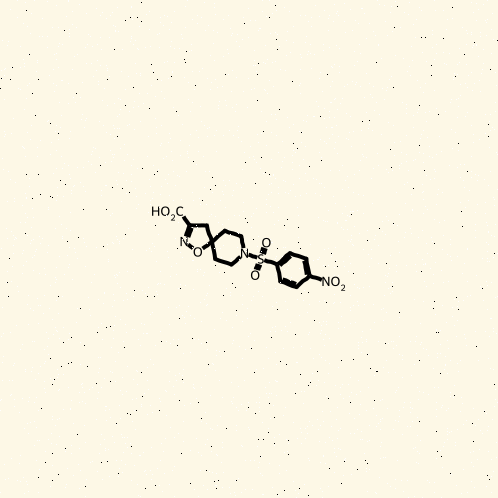 O=C(O)C1=NOC2(CCN(S(=O)(=O)c3ccc([N+](=O)[O-])cc3)CC2)C1